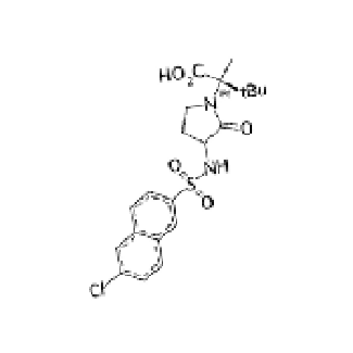 CC(C)(C)[C@](C)(C(=O)O)N1CCC(NS(=O)(=O)c2ccc3cc(Cl)ccc3c2)C1=O